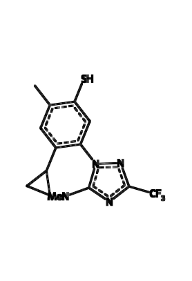 CNc1nc(C(F)(F)F)nn1-c1cc(S)c(C)cc1C1CC1